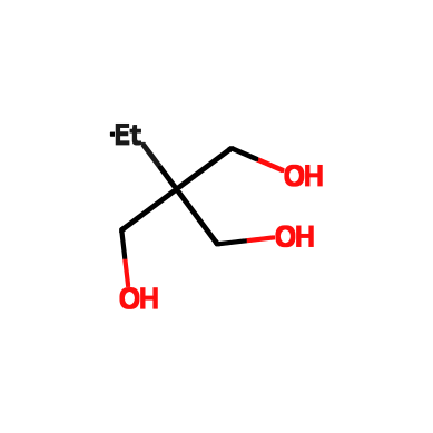 C[CH]C(CO)(CO)CO